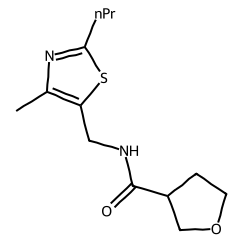 CCCc1nc(C)c(CNC(=O)C2CCOC2)s1